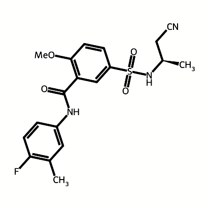 COc1ccc(S(=O)(=O)N[C@H](C)CC#N)cc1C(=O)Nc1ccc(F)c(C)c1